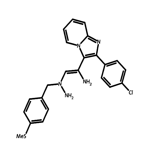 CSc1ccc(CN(N)/C=C(\N)c2c(-c3ccc(Cl)cc3)nc3ccccn23)cc1